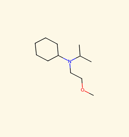 COCCN(C(C)C)C1CCCCC1